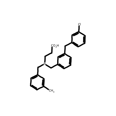 Cc1cccc(CN(CCC(=O)O)Cc2cccc(Cc3cccc(Cl)c3)c2)c1